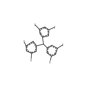 Ic1cc(I)cc(C(c2cc(I)cc(I)c2)c2cc(I)cc(I)c2)c1